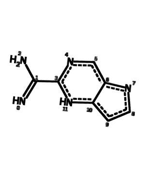 N=C(N)c1ncc2nccc-2[nH]1